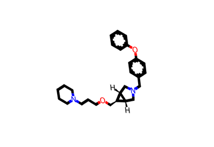 c1ccc(Oc2ccc(CN3C[C@@H]4[C@@H](COCCCN5CCCCC5)[C@@H]4C3)cc2)cc1